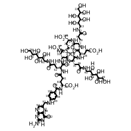 CSSC[C@@H](NC(=O)[C@H](CCC(=O)NC[C@H](O)[C@@H](O)[C@H](O)[C@H](O)CO)NC(=O)[C@@H](CCC(=O)O)NC(=O)[C@H](CCC(=O)NC[C@H](O)[C@@H](O)[C@H](O)[C@H](O)CO)NC(=O)[C@@H](CCC(=O)O)NC(=O)[C@H](CCC(=O)NC[C@H](O)[C@@H](O)[C@H](O)[C@H](O)CO)NC(=O)CC[C@@H](NC(=O)c1ccc(NCc2cnc3nc(N)[nH]c(=O)c3n2)cc1)C(=O)O)C(=O)O